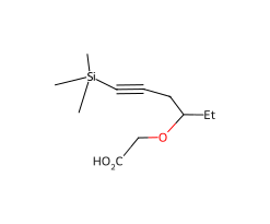 CCC(CC#C[Si](C)(C)C)OCC(=O)O